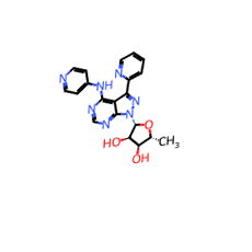 C[C@H]1O[C@@H](n2nc(-c3ccccn3)c3c(Nc4ccncc4)ncnc32)[C@H](O)[C@@H]1O